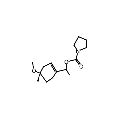 CO[C@]1(C)CC=C(C(C)OC(=O)N2CCCC2)CC1